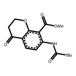 COC(=O)c1c(NC(=O)C(C)(C)C)ccc2c1OCCC2=O